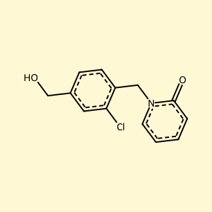 O=c1ccccn1Cc1ccc(CO)cc1Cl